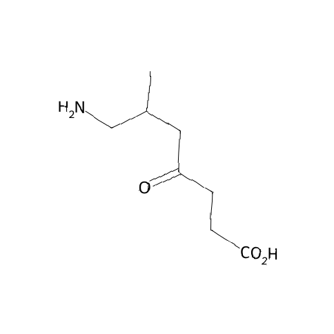 CC(CN)CC(=O)CCC(=O)O